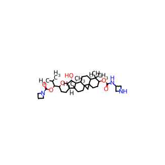 CC(C)C(OC(=O)N1CCC1)C1CC[C@H]2C(O1)[C@H](O)[C@@]1(C)C3CC[C@H]4C(C)(C)C(OC(=O)NC5CNC5)CCC45CC35CCC21C